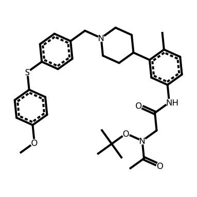 COc1ccc(Sc2ccc(CN3CCC(c4cc(NC(=O)CN(OC(C)(C)C)C(C)=O)ccc4C)CC3)cc2)cc1